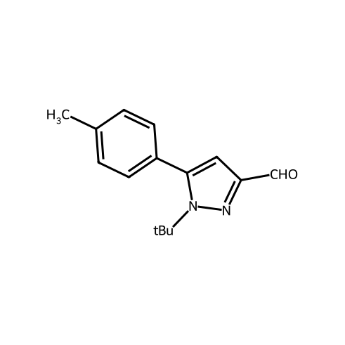 Cc1ccc(-c2cc(C=O)nn2C(C)(C)C)cc1